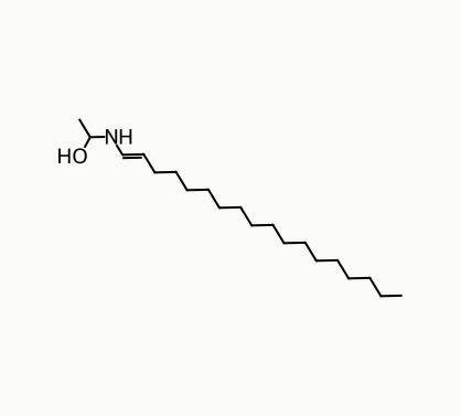 CCCCCCCCCCCCCCCCC=CNC(C)O